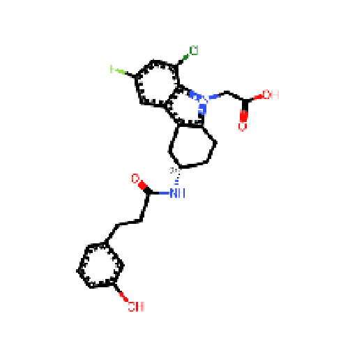 O=C(O)Cn1c2c(c3cc(F)cc(Cl)c31)C[C@@H](NC(=O)CCc1cccc(O)c1)CC2